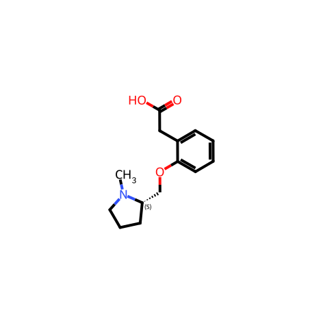 CN1CCC[C@H]1COc1ccccc1CC(=O)O